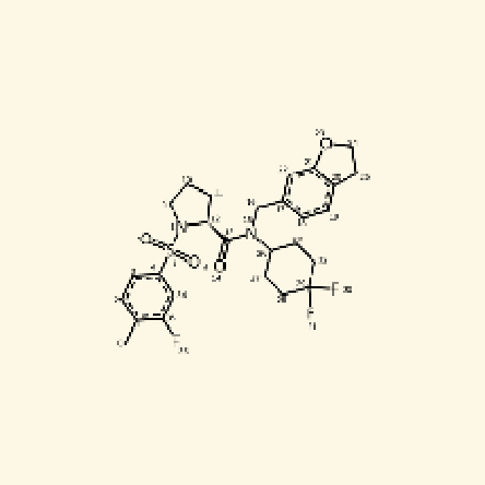 Cc1ccc(S(=O)(=O)N2CCC[C@H]2C(=O)N(Cc2ccc3c(c2)OCC3)C2CCC(F)(F)CC2)cc1F